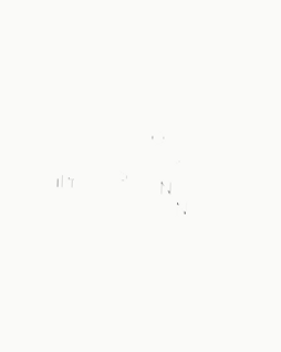 CC(C)c1ccc(-n2ncccc2=O)s1